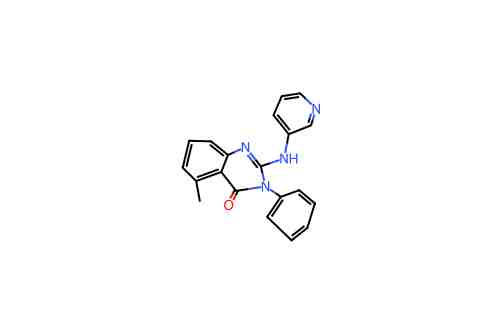 Cc1cccc2nc(Nc3cccnc3)n(-c3ccccc3)c(=O)c12